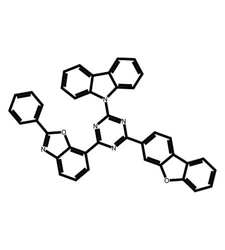 c1ccc(-c2nc3cccc(-c4nc(-c5ccc6c(c5)oc5ccccc56)nc(-n5c6ccccc6c6ccccc65)n4)c3o2)cc1